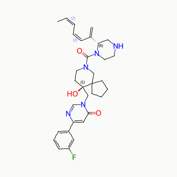 C=C(/C=C\C=C/C)[C@@H]1CNCCN1C(=O)N1CC[C@@](O)(Cn2cnc(-c3cccc(F)c3)cc2=O)C2(CCCC2)C1